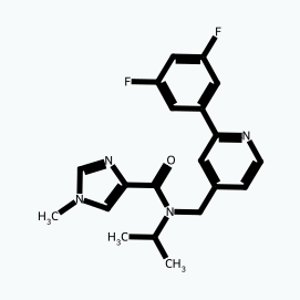 CC(C)N(Cc1ccnc(-c2cc(F)cc(F)c2)c1)C(=O)c1cn(C)cn1